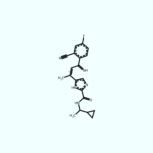 C/C(=C/C(=N)c1ccc(F)cc1C#N)c1cnc(C(=O)NC(C)C2CC2)[nH]1